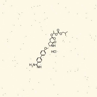 CC(C)COC(=O)OC(C)OC(=O)C[C@@H]1C[C@@H](COc2ccc(-c3ccc(C(=N)N)cc3)cc2)NC1=O.Cl